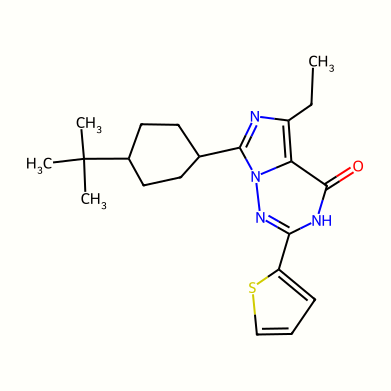 CCc1nc(C2CCC(C(C)(C)C)CC2)n2nc(-c3cccs3)[nH]c(=O)c12